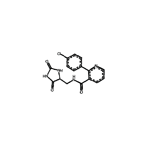 O=C1NC(=O)C(CNC(=O)c2cccnc2-c2ccc(Cl)cc2)N1